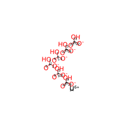 O=C([O-])O.O=C([O-])O.O=C([O-])O.O=C([O-])O.O=C([O-])O.O=C([O-])O.[U+6]